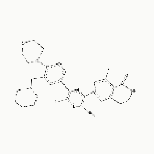 Nc1nc(F)c(-c2ccc(N3CCOCC3)c(CN3CCCCC3)c2)nc1-c1cc(F)c2c(c1)CCNC2=O